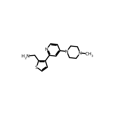 CN1CCN(c2ccnc(-c3ccsc3CN)c2)CC1